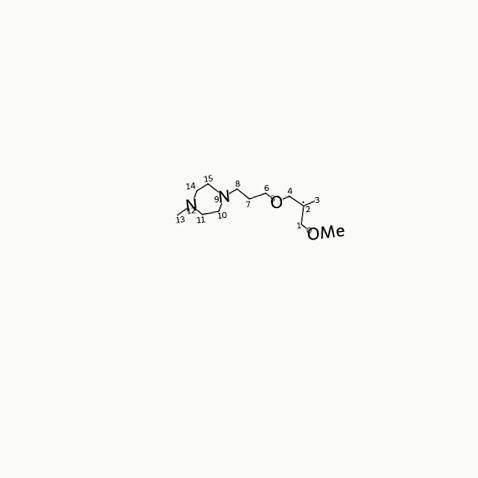 COC[C](C)COCCCN1CCN(C)CC1